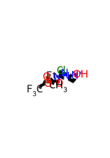 CCN(C(=O)C(C)CS(=O)(=O)CCCC(F)(F)F)c1cn(-c2ccc[n+](O)c2)nc1Cl